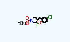 CC(C)(C)OC(=O)N1CCC2(Cc3cc(Cl)ccc3O2)C(F)C1